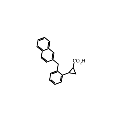 O=C(O)C1CC1c1ccccc1Cc1ccc2ccccc2c1